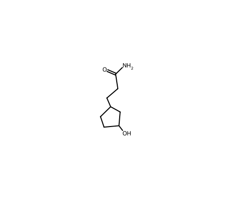 NC(=O)CCC1CCC(O)C1